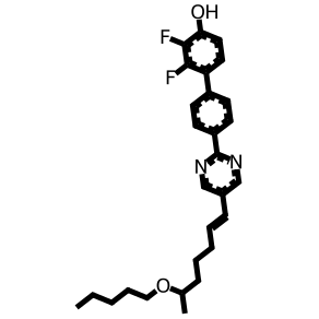 CCCCCOC(C)CCCC=Cc1cnc(-c2ccc(-c3ccc(O)c(F)c3F)cc2)nc1